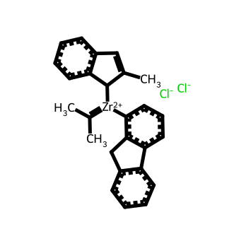 CC1=Cc2ccccc2[CH]1[Zr+2](=[C](C)C)[c]1cccc2c1Cc1ccccc1-2.[Cl-].[Cl-]